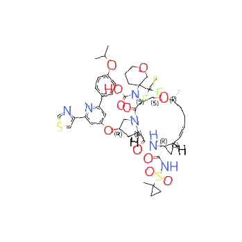 CC[C@@H]1O[C@H](C)CCC=C[C@@H]2C[C@@]2(C(=O)NS(=O)(=O)C2(C)CC2)NC(=O)[C@@H]2C[C@@H](Oc3cc(-c4ccc(OC(C)C)cc4)nc(-c4cscn4)c3)CN2C(=O)[C@H]1N(C(=O)O)C1(C(F)(F)F)CCCOC1